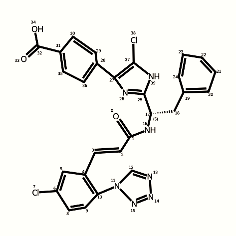 O=C(C=Cc1cc(Cl)ccc1-n1cnnn1)N[C@@H](Cc1ccccc1)c1nc(-c2ccc(C(=O)O)cc2)c(Cl)[nH]1